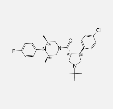 C[C@@H]1CN(C(=O)[C@H]2CN(C(C)(C)C)C[C@@H]2c2ccc(Cl)cc2)C[C@H](C)N1c1ccc(F)cc1